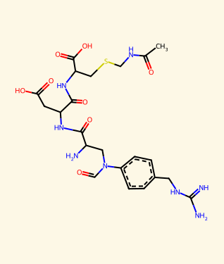 CC(=O)NCSCC(NC(=O)C(CC(=O)O)NC(=O)C(N)CN(C=O)c1ccc(CNC(=N)N)cc1)C(=O)O